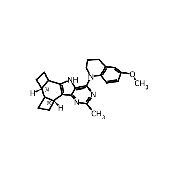 COc1ccc2c(c1)CCCN2c1nc(C)nc2c3c([nH]c12)C1CC[C@H]1C1CC[C@@H]31